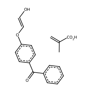 C=C(C)C(=O)O.O=C(c1ccccc1)c1ccc(OC=CO)cc1